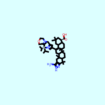 CC(C)[Si](C(C)C)(C(C)C)n1cc(C2=C3C4CC(C)(C)C[C@@H](C(=O)O)C4CCC3(C)C3(C)CCC4C(C)(C)c5n[nH]c(N)c5CC4(C)C3C2)cc1CN1CCOCC1